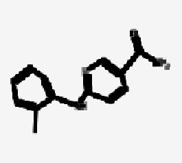 Cc1ccccc1Nc1ccc(C(N)=O)cn1